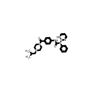 CC(C)CN1CCN(C(=O)c2ccc(NC(=O)N(c3ccccc3)N3N=CC=CN3)cc2)CC1